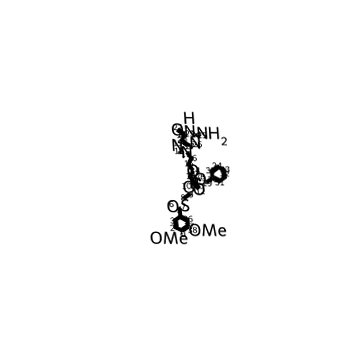 COc1ccc(C(=O)SCCOP(=O)(COCCn2cnc3c(=O)[nH]c(N)nc32)OCc2ccccc2)cc1OC